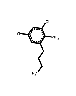 NCCCc1cc(Cl)cc(Cl)c1N